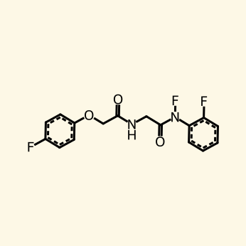 O=C(COc1ccc(F)cc1)NCC(=O)N(F)c1ccccc1F